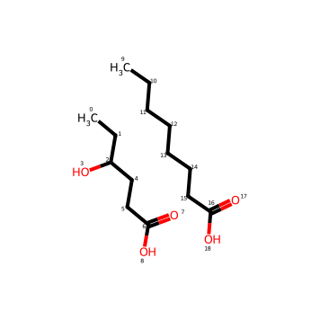 CCC(O)CCC(=O)O.CCCCCCCC(=O)O